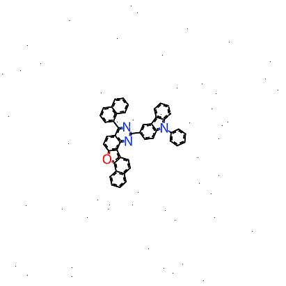 c1ccc(-n2c3ccccc3c3cc(-c4nc(-c5cccc6ccccc56)c5ccc6oc7c8ccccc8ccc7c6c5n4)ccc32)cc1